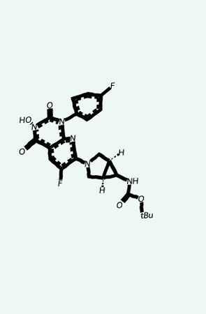 CC(C)(C)OC(=O)NC1[C@H]2CN(c3nc4c(cc3F)c(=O)n(O)c(=O)n4-c3ccc(F)cc3)C[C@@H]12